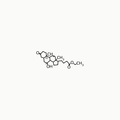 CCOC(=O)CCCC1CCC2C3C(CCC12C)[C@@]1(C)CCC(=O)CC1C[C@@H]3O